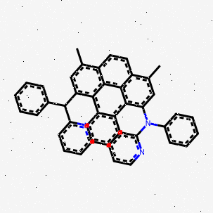 Cc1cc(C(c2ccccc2)c2ccccn2)c2c3ccccc3c3c(N(c4ccccc4)c4ccccn4)cc(C)c4ccc1c2c43